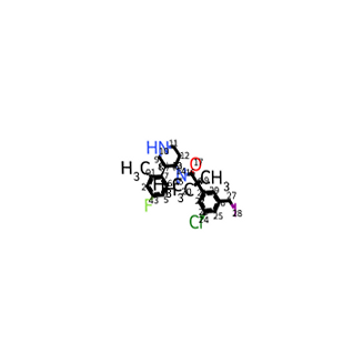 Cc1cc(F)ccc1[C@H]1CNCC[C@@H]1N(C)C(=O)C(C)(C)c1cc(Cl)cc(CI)c1